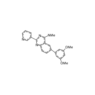 CNc1nc(-c2cccnc2)nc2ccc(-c3cc(OC)cc(OC)c3)cc12